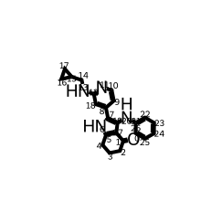 O=C1CCCc2[nH]c(-c3ccnc(NCC4CC4)c3)c(Nc3ccccc3)c21